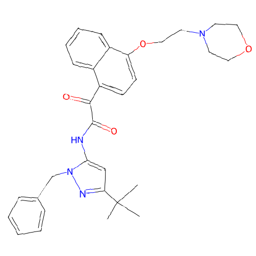 CC(C)(C)c1cc(NC(=O)C(=O)c2ccc(OCCN3CCOCC3)c3ccccc23)n(Cc2ccccc2)n1